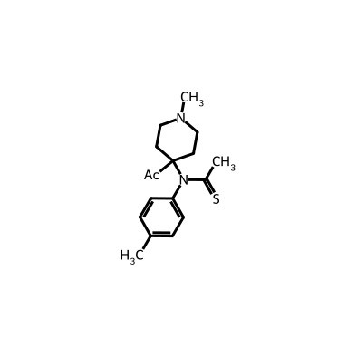 CC(=O)C1(N(C(C)=S)c2ccc(C)cc2)CCN(C)CC1